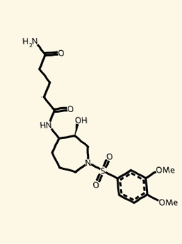 COc1ccc(S(=O)(=O)N2CCCC(NC(=O)[CH]CCC(N)=O)[C@@H](O)C2)cc1OC